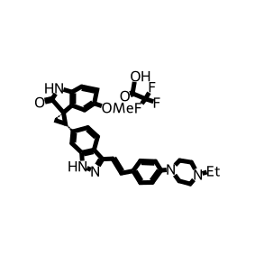 CCN1CCN(c2ccc(/C=C/c3n[nH]c4cc([C@@H]5C[C@@]56C(=O)Nc5ccc(OC)cc56)ccc34)cc2)CC1.O=C(O)C(F)(F)F